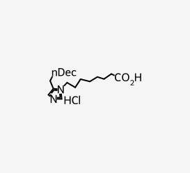 CCCCCCCCCCCc1cncn1CCCCCCCC(=O)O.Cl